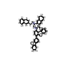 C=N/C(=N\C(=N/Cc1ccc2ccccc2c1)c1ccc2ccccc2c1)c1ccc(-c2ccc3c(c2)oc2ccccc23)c2oc3ccccc3c12